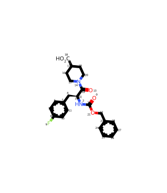 O=C(N[C@@H](Cc1ccc(F)cc1)C(=O)N1CCC(C(=O)O)CC1)OCc1ccccc1